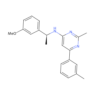 COc1cccc([C@H](C)Nc2cc(-c3cccc(C)c3)nc(C)n2)c1